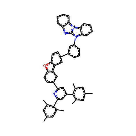 Cc1cc(C)c(-c2cc(-c3ccc4oc5ccc(-c6cccc(-n7c8ccccc8n8c9ccccc9nc78)c6)cc5c4c3)nc(-c3c(C)cc(C)cc3C)c2)c(C)c1